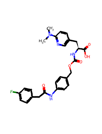 CN(C)c1ccc(C[C@H](NC(=O)OCc2ccc(NC(=O)Cc3ccc(F)cc3)cc2)C(=O)O)cn1